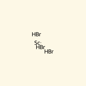 Br.Br.Br.[Sc]